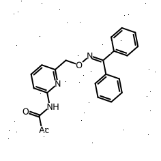 CC(=O)C(=O)Nc1cccc(CON=C(c2ccccc2)c2ccccc2)n1